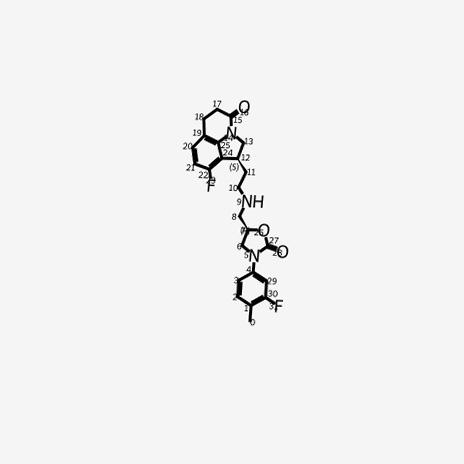 Cc1ccc(N2C[C@@H](CNCC[C@@H]3CN4C(=O)CCc5ccc(F)c3c54)OC2=O)cc1F